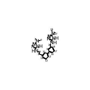 CN(C)c1nnc(NCCc2cccc(-c3cccc(CNc4nnc(N(C)C)[nH]4)c3)c2)[nH]1